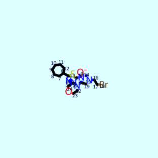 [O-][N+]1(c2nnc(C3CCCCCC3)s2)CN(CCBr)CC1N1CCOCC1